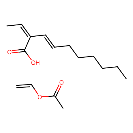 C=COC(C)=O.CC=C(C=CCCCCCC)C(=O)O